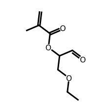 C=C(C)C(=O)OC(C=O)COCC